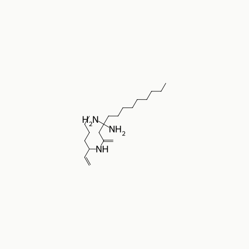 C=CC(CCCC)NC(=C)CC(N)(N)CCCCCCCCC